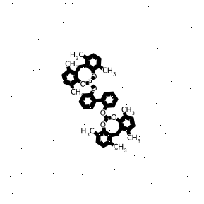 Cc1ccc(C)c2c1Cc1c(C)ccc(C)c1OP(Oc1ccccc1-c1ccccc1OP1Oc3c(C)ccc(C)c3Cc3c(C)ccc(C)c3O1)O2